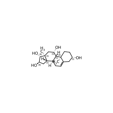 C[C@]12C[C@H](O)[C@H]3[C@@H](CC=C4C[C@@H](O)CC[C@@]43C)[C@@H]1C[C@@H](O)[C@@H]2O